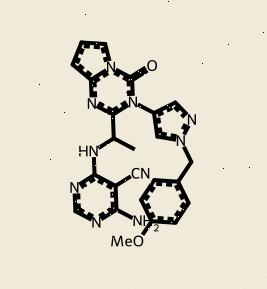 COc1ccc(Cn2cc(-n3c(C(C)Nc4ncnc(N)c4C#N)nc4cccn4c3=O)cn2)cc1